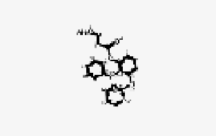 COC=CC(=O)Oc1cccc(Oc2ncccn2)c1Oc1ccccc1